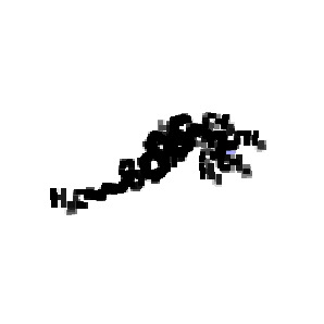 C/C=C(\CC[C@@H](C)[C@H]1CC[C@H]2[C@@H]3CC=C4C[C@@H](OC(=O)CCCCC)CC[C@]4(C)[C@H]3CC[C@]12C)C(C)C